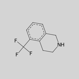 FC(F)(F)c1cccc2c1CCNC2